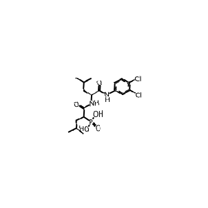 CC(C)CC(C(=O)N[C@@H](CC(C)C)C(=O)Nc1ccc(Cl)c(Cl)c1)P(=O)(O)O